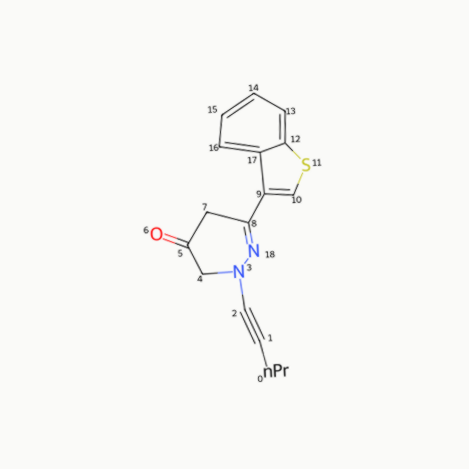 CCCC#CN1CC(=O)CC(c2csc3ccccc23)=N1